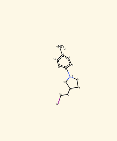 O=[N+]([O-])c1ccc(N2CCC(CCI)C2)cc1